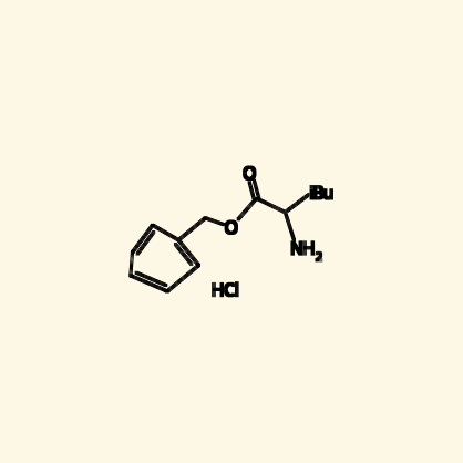 CCC(C)C(N)C(=O)OCc1ccccc1.Cl